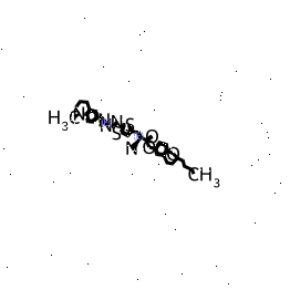 CCCCC1CCc2cc(OC(=O)/C(C#N)=C/c3cc4sc(/N=N/c5ccc6c(c5)CCCN6C)nc4s3)ccc2O1